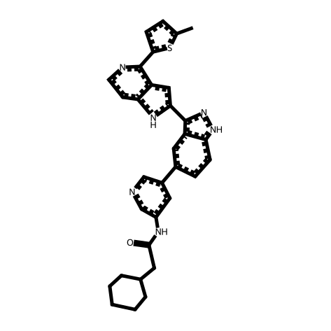 Cc1ccc(-c2nccc3[nH]c(-c4n[nH]c5ccc(-c6cncc(NC(=O)CC7CCCCC7)c6)cc45)cc23)s1